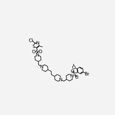 COc1ccc(Br)cc1S(=O)(=O)N1CCC(CN2CCC(CCC3CCN(CC4CCN(S(=O)(=O)c5sc(Cl)nc5C)CC4)CC3)CC2)CC1